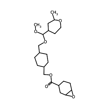 COC(OCC1CCC(COC(=O)C2CCC3OC3C2)CC1)C1CCOC(C)C1